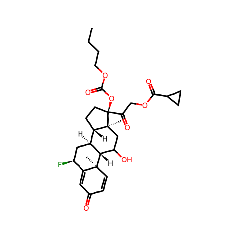 CCCCOC(=O)O[C@]1(C(=O)COC(=O)C2CC2)CC[C@H]2[C@@H]3C[C@H](F)C4=CC(=O)C=C[C@]4(C)[C@H]3C(O)C[C@@]21C